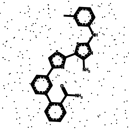 Cc1cccc(Nc2nc(N)c(-c3nc(-c4cccc(-c5ccccc5C(N)=O)c4)cs3)s2)c1